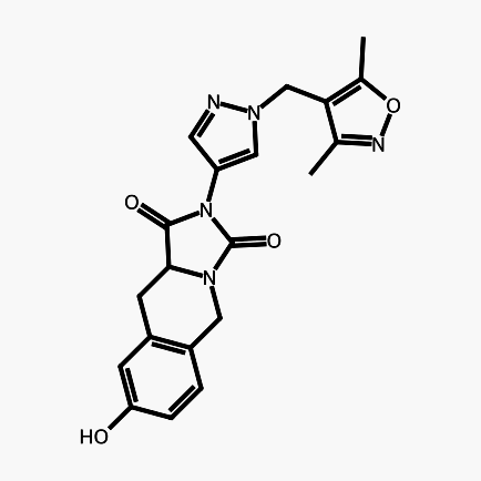 Cc1noc(C)c1Cn1cc(N2C(=O)C3Cc4cc(O)ccc4CN3C2=O)cn1